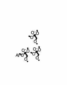 COCC([O-])(OC)OC.COCC([O-])(OC)OC.COCC([O-])(OC)OC.[Al+3]